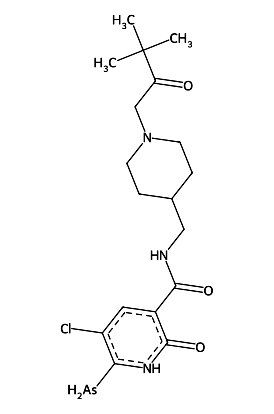 CC(C)(C)C(=O)CN1CCC(CNC(=O)c2cc(Cl)c([AsH2])[nH]c2=O)CC1